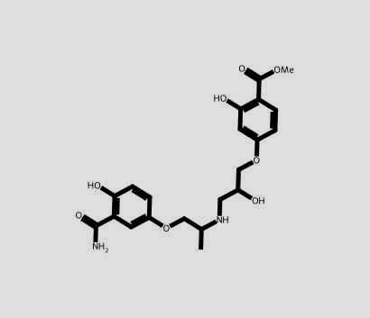 COC(=O)c1ccc(OCC(O)CNC(C)COc2ccc(O)c(C(N)=O)c2)cc1O